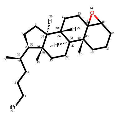 CC(C)CCC[C@@H](C)[C@H]1CC[C@H]2[C@@H]3CCC45OC4CCC[C@]5(C)[C@H]3CC[C@]12C